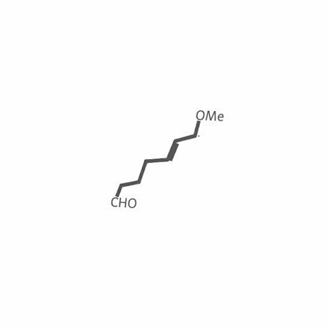 CO[CH]C=CCCCC=O